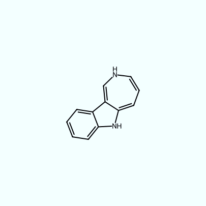 C1=CNC=c2c([nH]c3ccccc23)=C1